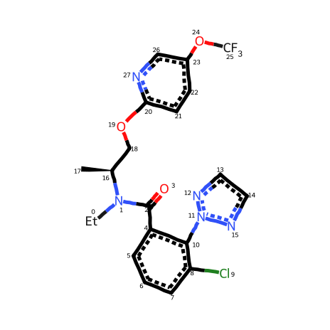 CCN(C(=O)c1cccc(Cl)c1-n1nccn1)[C@@H](C)COc1ccc(OC(F)(F)F)cn1